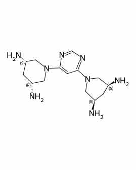 N[C@@H]1C[C@H](N)CN(c2cc(N3C[C@H](N)C[C@H](N)C3)ncn2)C1